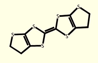 C1CC2=C(S1)SC(=C1SC3=C(SCC3)S1)S2